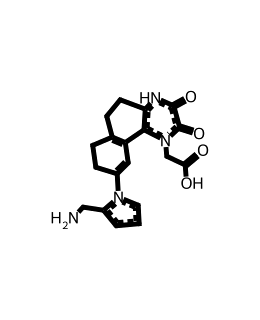 NCc1cccn1C1=CC2=C(CC1)CCc1[nH]c(=O)c(=O)n(CC(=O)O)c12